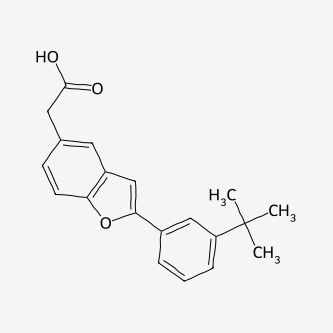 CC(C)(C)c1cccc(-c2cc3cc(CC(=O)O)ccc3o2)c1